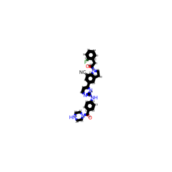 N#Cc1cc(-c2ccnc(Nc3ccc(C(=O)N4CCNCC4)cc3)n2)cc2c1N(C(=O)Cc1ccccc1F)CC2